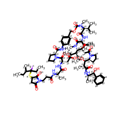 CCC(C)C(I)(CC)SC1CC(=O)N(CCC(=O)N[C@@H](C)C(=O)N[C@@H](CC(=O)O)C(=O)N2CCC[C@H]2C(=O)Nc2ccc(COC(=O)N(C)[C@H](C(=O)N[C@H](C(=O)N(C)[C@@H]([C@@H](C)CC)[C@@H](CC(=O)N3CCC[C@H]3[C@H](OC)[C@@H](C)C(=O)N[C@H](C)[C@@H](O)c3ccccc3)OC)C(C)C)C(C)C)cc2)C1=O